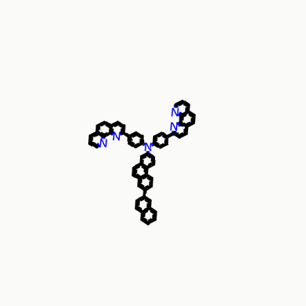 c1ccc2cc(-c3ccc4c(ccc5cc(N(c6ccc(-c7ccc8ccc9cccnc9c8n7)cc6)c6ccc(-c7ccc8ccc9cccnc9c8n7)cc6)ccc54)c3)ccc2c1